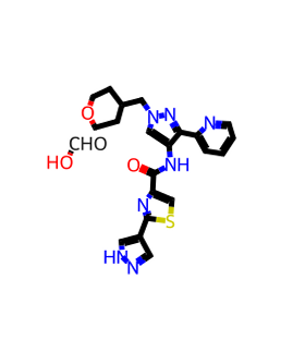 O=C(Nc1cn(CC2CCOCC2)nc1-c1ccccn1)c1csc(-c2cn[nH]c2)n1.O=CO